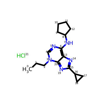 CCCn1cnc(NC2CCCC2)c2nc(C3CC3)nc1-2.Cl